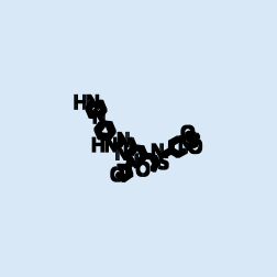 Cc1sc(C2CCN(S(C)(=O)=O)CC2)nc1-c1cc2cnc(Nc3ccc(N4CCNCC4)cc3)nc2n(C2CCOC2)c1=O